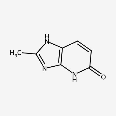 Cc1nc2[nH]c(=O)ccc2[nH]1